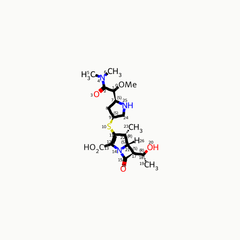 COC(C(=O)N(C)C)[C@@H]1C[C@H](SC2=C(C(=O)O)N3C(=O)[C@H]([C@@H](C)O)[C@H]3[C@H]2C)CN1